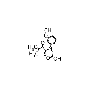 COc1cccc2c1OC(C(C)C)C(=S)N2CC(=O)O